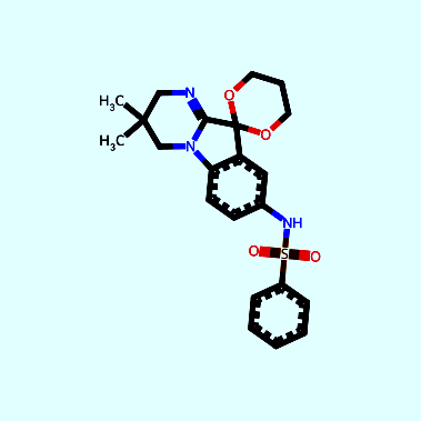 CC1(C)CN=C2N(C1)c1ccc(NS(=O)(=O)c3ccccc3)cc1C21OCCCO1